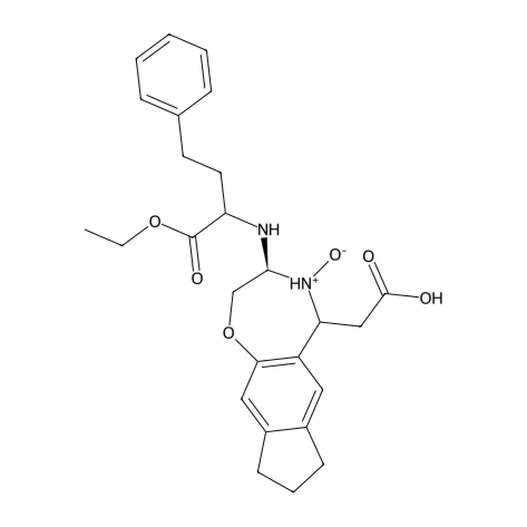 CCOC(=O)C(CCc1ccccc1)N[C@@H]1COc2cc3c(cc2C(CC(=O)O)[NH+]1[O-])CCC3